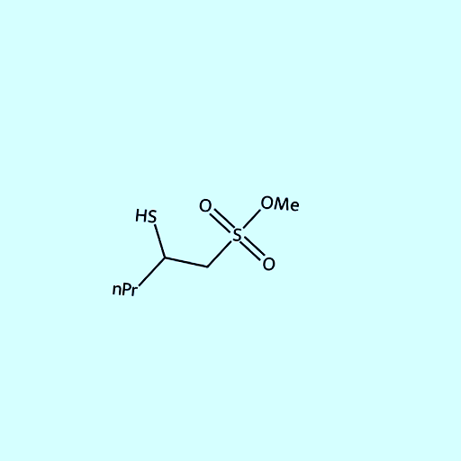 CCCC(S)CS(=O)(=O)OC